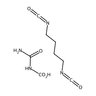 NC(=O)NC(=O)O.O=C=NCCCCN=C=O